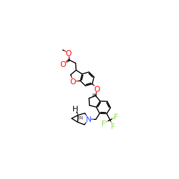 COC(=O)CC1COc2cc(O[C@@H]3CCc4c3ccc(C(F)(F)F)c4CN3CC4C[C@@H]4C3)ccc21